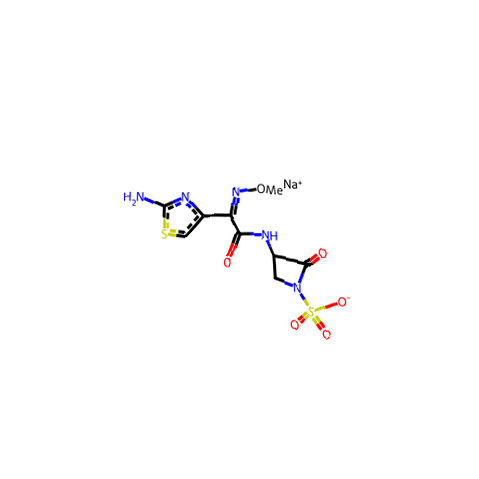 CON=C(C(=O)NC1CN(S(=O)(=O)[O-])C1=O)c1csc(N)n1.[Na+]